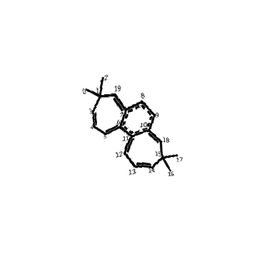 CC1(C)C=CC=c2c(ccc3c2=CC=CC(C)(C)C=3)=C1